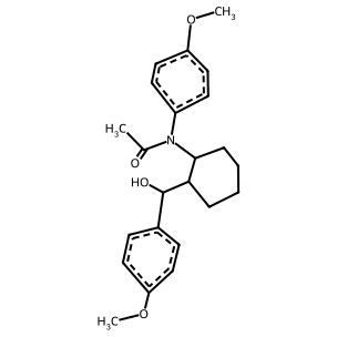 COc1ccc(C(O)C2CCCCC2N(C(C)=O)c2ccc(OC)cc2)cc1